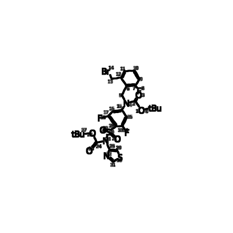 CC(C)(C)OC(=O)N(Cc1c(F)cccc1CBr)c1cc(F)c(S(=O)(=O)N(C(=O)OC(C)(C)C)c2cscn2)c(F)c1